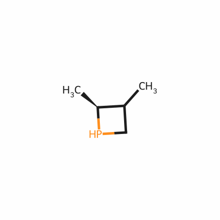 CC1CP[C@H]1C